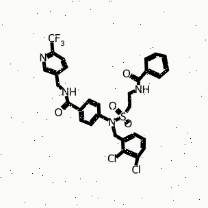 O=C(NCCS(=O)(=O)N(Cc1cccc(Cl)c1Cl)c1ccc(C(=O)NCc2ccc(C(F)(F)F)nc2)cc1)c1ccccc1